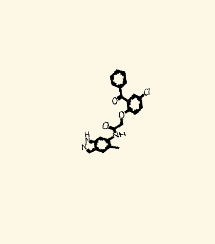 Cc1cc2cn[nH]c2cc1NC(=O)COc1ccc(Cl)cc1C(=O)c1ccccc1